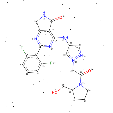 O=C1NCc2nc(-c3c(F)cccc3F)nc(Nc3cnn(CC(=O)N4CCCC4CO)c3)c21